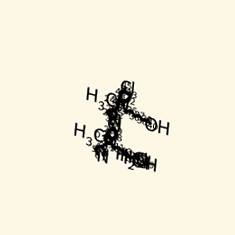 Cc1c(-c2cccnc2)n(CCCCCCO)c2ccc(Cl)cc12.Cc1c(-c2cccnc2)n(CCCCCCO)c2ccc(Cl)cc12.Cl.Cl.O